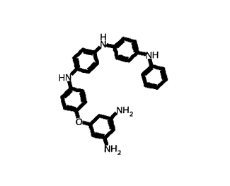 NC1=CC(Oc2ccc(Nc3ccc(Nc4ccc(Nc5ccccc5)cc4)cc3)cc2)CC(N)=C1